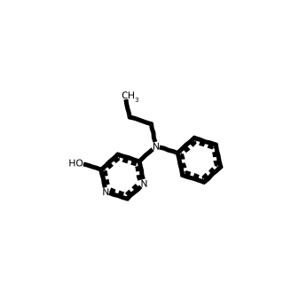 CCCN(c1ccccc1)c1cc(O)ncn1